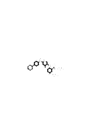 COC(=O)c1cc(OC)ccc1Nc1cnc(N(C)c2ccc(C3CCCCC3)cc2)cc1C